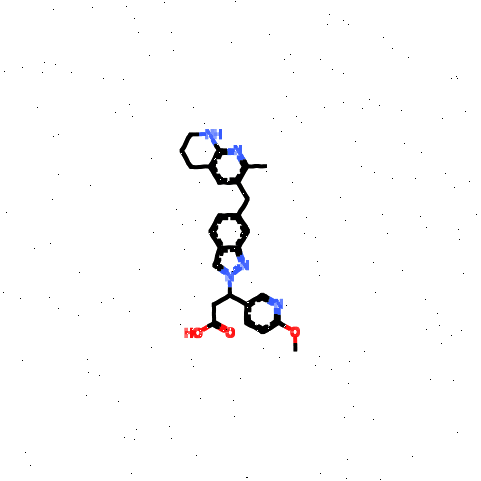 COc1ccc(C(CC(=O)O)n2cc3ccc(Cc4cc5c(nc4C)NCCC5)cc3n2)cn1